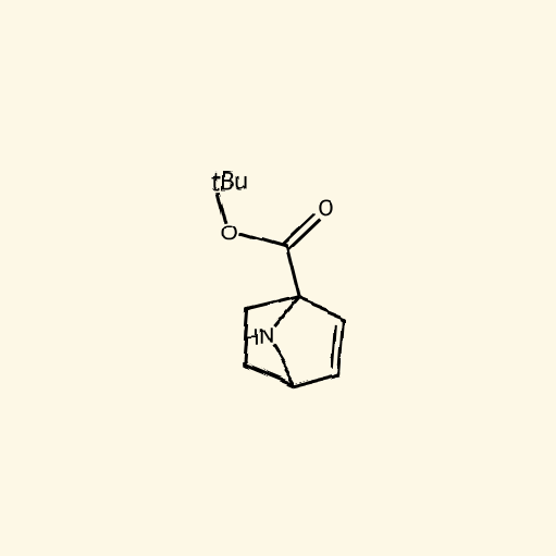 CC(C)(C)OC(=O)C12C=CC(CC1)N2